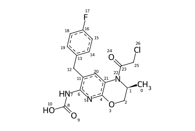 C[C@H]1COc2nc(NC(=O)O)c(Cc3ccc(F)cc3)cc2N1C(=O)CCl